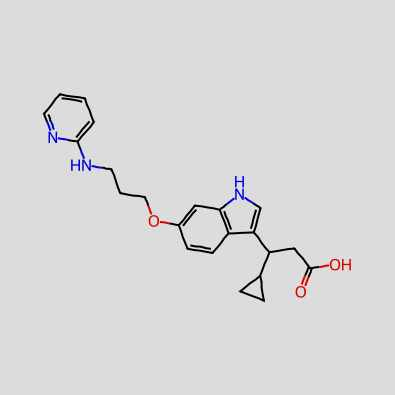 O=C(O)CC(c1c[nH]c2cc(OCCCNc3ccccn3)ccc12)C1CC1